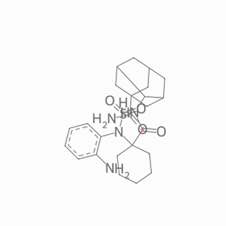 NC(=O)C12CC3CC(C1)C(NC(=O)C1(N(c4ccccc4N)[SH](=O)=O)CCCCC1)C(C3)C2